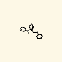 CN(c1ccncc1)n1cccc1C=Cc1ccccc1